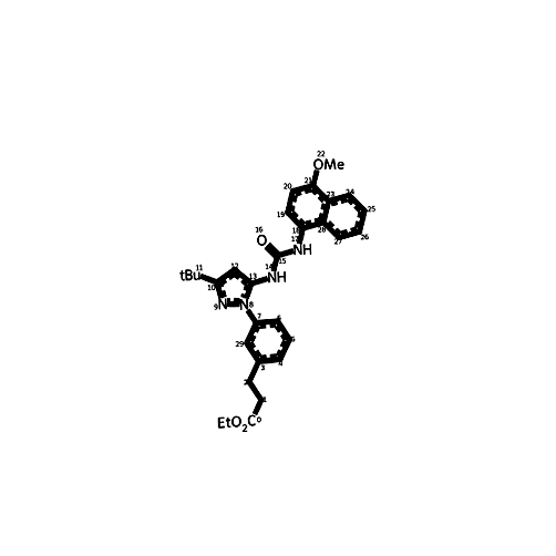 CCOC(=O)CCc1cccc(-n2nc(C(C)(C)C)cc2NC(=O)Nc2ccc(OC)c3ccccc23)c1